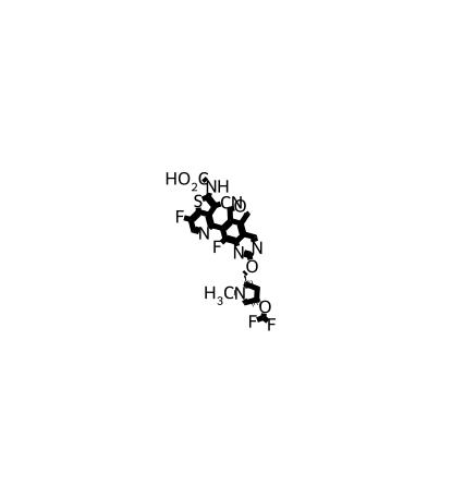 CN1C[C@H](OC(F)F)C[C@H]1COc1ncc2c3c(c(-c4ncc(F)c5sc(NC(=O)O)c(C#N)c45)c(F)c2n1)COC3